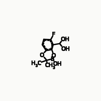 CC1(C)Oc2ccc(F)c(C(O)O)c2OB1O